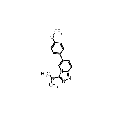 CN(C)c1nnc2ccc(-c3ccc(OC(F)(F)F)cc3)cn12